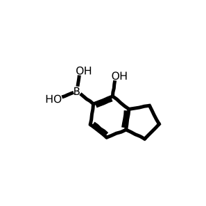 OB(O)c1ccc2c(c1O)CCC2